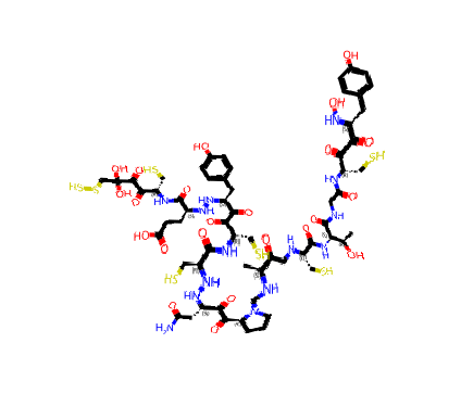 C[C@H](NCN1CCC[C@H]1C(=O)C(=O)[C@H](CC(N)=O)NN[C@@H](CS)C(=O)N[C@@H](CS)C(=O)C(=O)[C@H](Cc1ccc(O)cc1)NN[C@@H](CCC(=O)O)C(=O)N[C@@H](CS)C(=O)C(=O)C(O)(O)CSS)C(=O)CN[C@@H](CS)C(=O)N[C@H](C(=O)NCC(=O)N[C@@H](CS)C(=O)C(=O)[C@H](Cc1ccc(O)cc1)NO)[C@@H](C)O